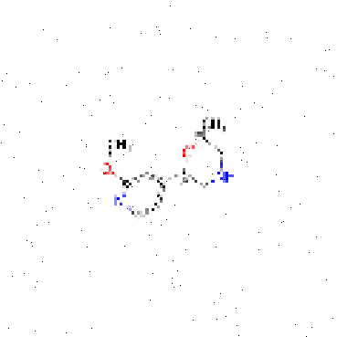 COc1cc([C@H]2CNC[C@@H](C)O2)ccn1